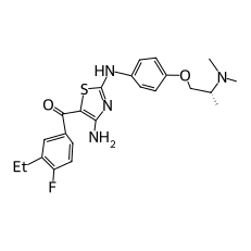 CCc1cc(C(=O)c2sc(Nc3ccc(OC[C@@H](C)N(C)C)cc3)nc2N)ccc1F